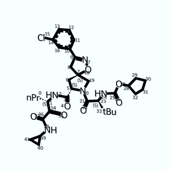 CCC[C@H](NC(=O)[C@@H]1C[C@]2(CC(c3cccc(Cl)c3)=NO2)CN1C(=O)[C@@H](NC(=O)OC1CCCC1)C(C)(C)C)C(=O)C(=O)NC1CC1